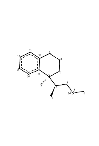 CNC[C@@H](C)[C@]1(C)CCCc2ccccc21